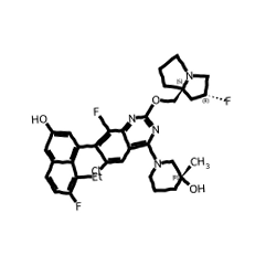 CCc1c(F)ccc2cc(O)cc(-c3c(Cl)cc4c(N5CCC[C@@](C)(O)C5)nc(OC[C@@]56CCCN5C[C@H](F)C6)nc4c3F)c12